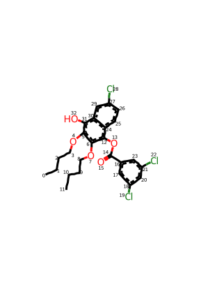 CCCCOc1c(OCCCC)c(OC(=O)c2cc(Cl)cc(Cl)c2)c2ccc(Cl)cc2c1O